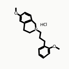 COc1ccc2c(c1)CCN(CCCc1ccccc1OC)C2.Cl